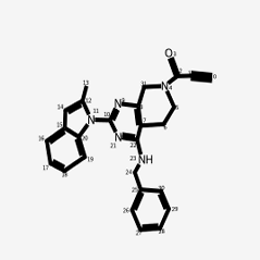 C#CC(=O)N1CCc2c(nc(-n3c(C)cc4ccccc43)nc2NCc2ccccc2)C1